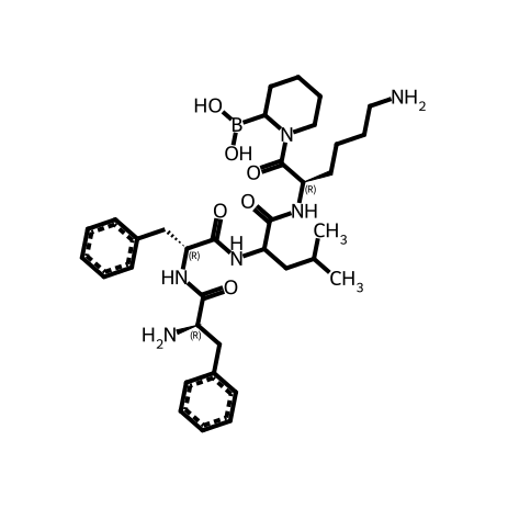 CC(C)CC(NC(=O)[C@@H](Cc1ccccc1)NC(=O)[C@H](N)Cc1ccccc1)C(=O)N[C@H](CCCCN)C(=O)N1CCCCC1B(O)O